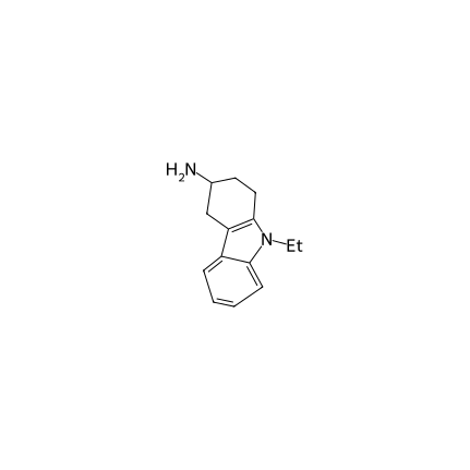 CCn1c2c(c3ccccc31)CC(N)CC2